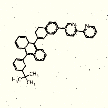 CC(C)(C)C1C=CC=C(C2=c3ccccc3=C(C3=Cc4cc(-c5ccc(-c6ccccn6)nc5)ccc4CC3)C3C=CC=CC23)C1